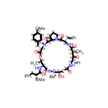 CC[C@H](C)[C@H]1NC(=O)[C@@H](NC(=O)[C@@H](CC(C)C)NC)[C@@H](C)OC(=O)[C@H](Cc2ccc(OC)cc2)N(C)C(=O)[C@@H]2CCCN2C(=O)[C@H](CC(C)C)NC(=O)[C@@H](C)C(=O)[C@H](C(C)C)NC(=O)C[C@@H]1O